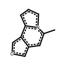 Cc1cc2cocc2c2cccn12